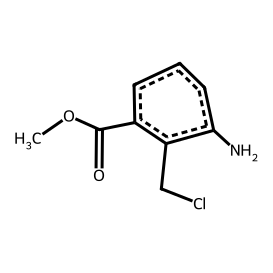 COC(=O)c1cccc(N)c1CCl